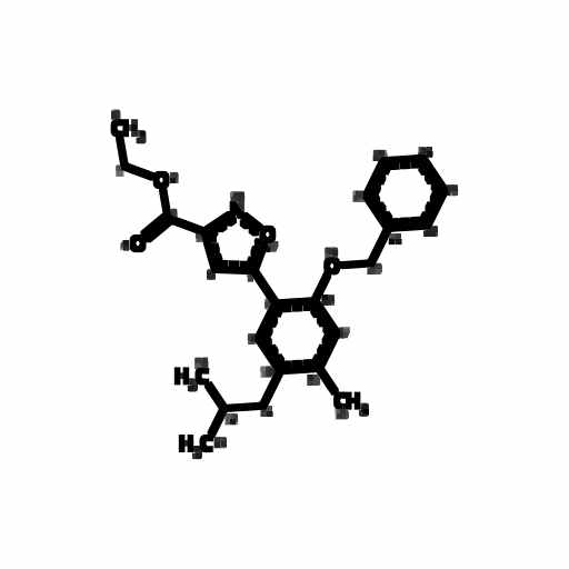 CCOC(=O)c1cc(-c2cc(CC(C)C)c(C)cc2OCc2ccccc2)on1